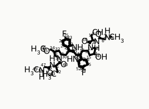 CCC(NC(=O)CNC)C(=O)N1CC(O)CC1Cc1c(-c2[nH]c3cc(F)ccc3c2CC2CC(COC)CN2C(=O)C(CC)NC(=O)CNC)[nH]c2cc(F)ccc12